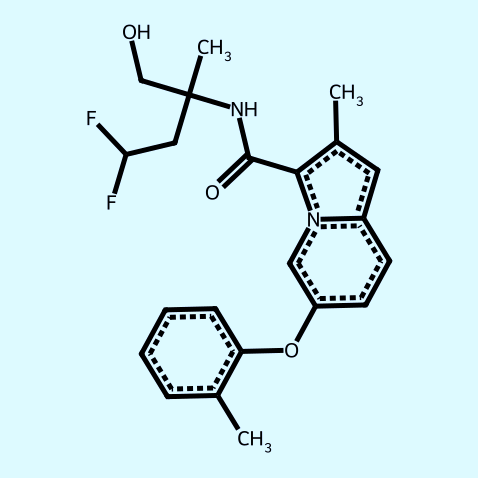 Cc1ccccc1Oc1ccc2cc(C)c(C(=O)NC(C)(CO)CC(F)F)n2c1